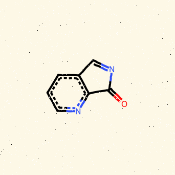 O=C1N=Cc2cccnc21